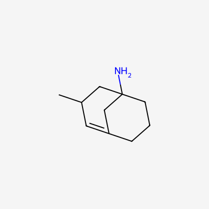 CC1C=C2CCCC(N)(C2)C1